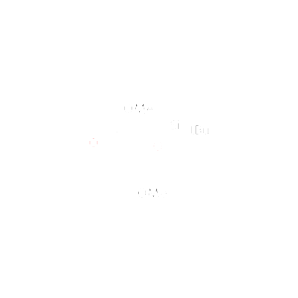 COC[C@@H](O[Si](C)(C)C(C)(C)C)C(=O)OC